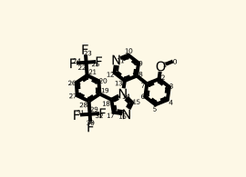 COc1ccccc1-c1ccncc1-n1cncc1-c1cc(C(F)(F)F)ccc1C(F)(F)F